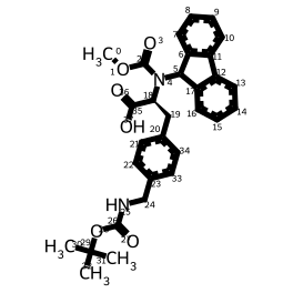 COC(=O)N(C1c2ccccc2-c2ccccc21)[C@@H](Cc1ccc(CNC(=O)OC(C)(C)C)cc1)C(=O)O